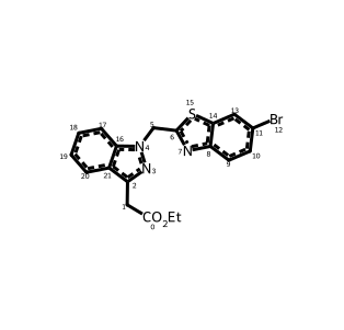 CCOC(=O)Cc1nn(Cc2nc3ccc(Br)cc3s2)c2ccccc12